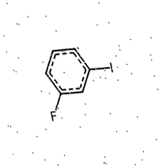 Fc1cc[c]c(I)c1